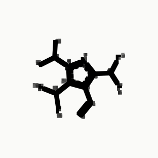 C=Cc1c(C(F)F)nn(C(C)C)c1C(F)F